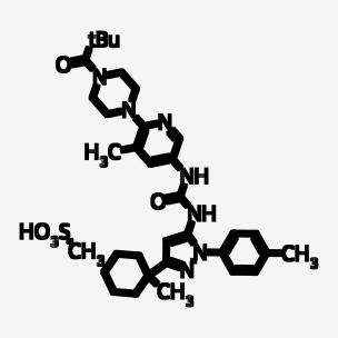 CS(=O)(=O)O.Cc1ccc(-n2nc(C3(C)CCCCC3)cc2NC(=O)Nc2cnc(N3CCN(C(=O)C(C)(C)C)CC3)c(C)c2)cc1